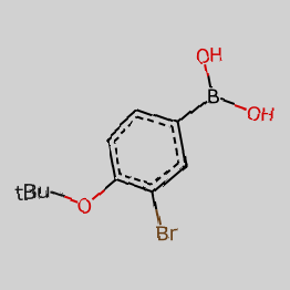 CC(C)(C)Oc1ccc(B(O)O)cc1Br